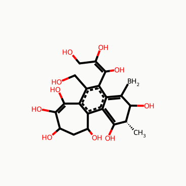 BC1=c2c(/C(O)=C(/O)CO)c(CO)c3c(c2=C(O)[C@@H](C)C1O)C(O)CC(O)C(O)=C3O